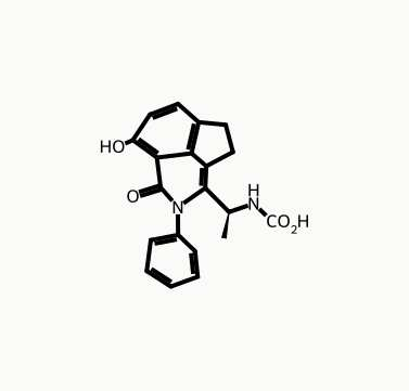 C[C@H](NC(=O)O)c1c2c3c(ccc(O)c3c(=O)n1-c1ccccc1)CC2